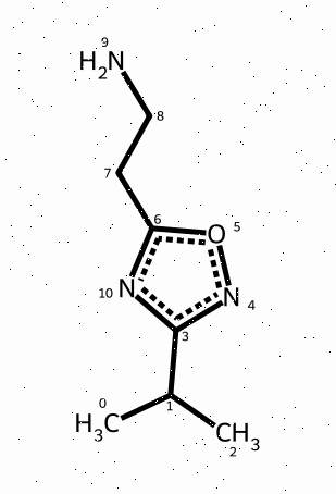 CC(C)c1noc(CCN)n1